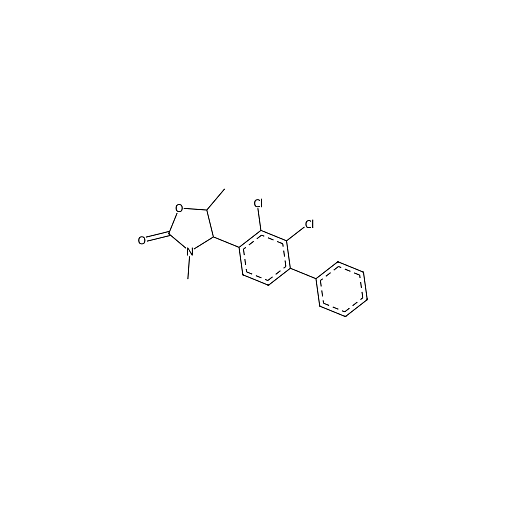 CC1OC(=O)N(C)C1c1ccc(-c2ccccc2)c(Cl)c1Cl